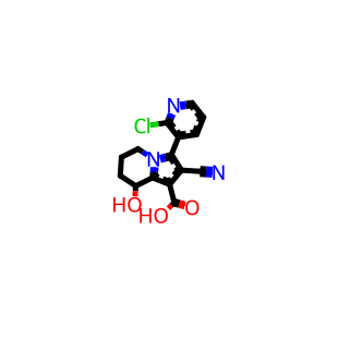 N#Cc1c(C(=O)O)c2n(c1-c1cccnc1Cl)CCCC2O